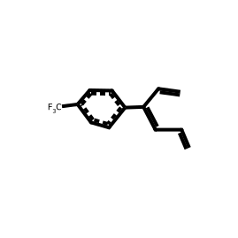 C=C/C=C(\C=C)c1ccc(C(F)(F)F)cc1